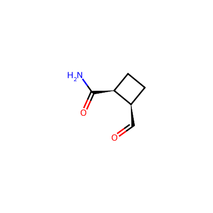 NC(=O)[C@H]1CC[C@H]1C=O